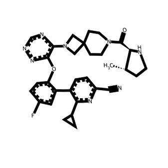 C[C@H]1CCN[C@@H]1C(=O)N1CCC2(CC1)CN(c1ncnnc1Oc1ccc(F)cc1-c1ccc(C#N)nc1C1CC1)C2